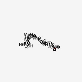 COc1ccc(CNC(=O)Cc2ccc(N(C)C(=O)CCN3CCC(OC(=O)Nc4ccccc4-c4ccccc4)CC3)cc2)cc1CC(C)NC[C@H](O)c1ccc(O)c2c1C=CC(O)N2